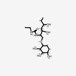 CCNC(=O)NC(COC1CCC(O)C(O)C1O)C(O)CC(O)CC